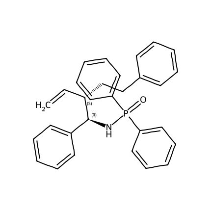 C=C[C@H](CCc1ccccc1)[C@@H](NP(=O)(c1ccccc1)c1ccccc1)c1ccccc1